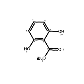 CC(C)COC(=O)c1c(O)cccc1O